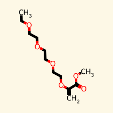 C=C(OCCOCCOCCOCC)C(=O)OC